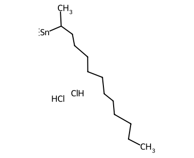 CCCCCCCCCCC[CH](C)[Sn].Cl.Cl